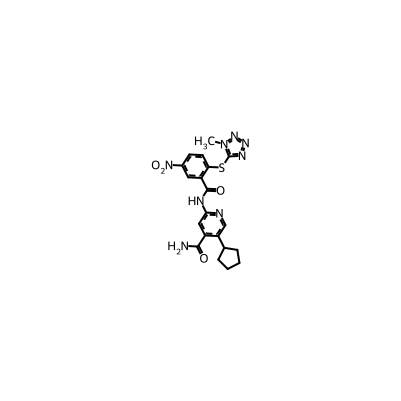 Cn1nnnc1Sc1ccc([N+](=O)[O-])cc1C(=O)Nc1cc(C(N)=O)c(C2CCCC2)cn1